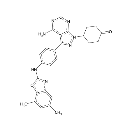 Cc1cc(C)c2oc(Nc3ccc(-c4nn(C5CCC(=O)CC5)c5ncnc(N)c45)cc3)nc2c1